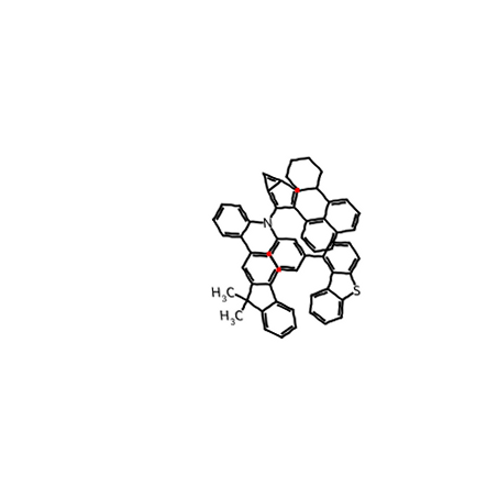 CC1(C)c2ccccc2-c2ccc(-c3ccccc3N(c3cccc(-c4cccc5sc6ccccc6c45)c3)c3c4cc-4cc3-c3cccc4cccc(C5CCCCC5)c34)cc21